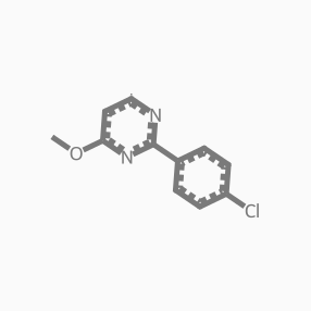 COc1c[c]nc(-c2ccc(Cl)cc2)n1